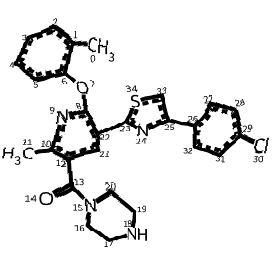 Cc1ccccc1Oc1nc(C)c(C(=O)N2CCNCC2)cc1-c1nc(-c2ccc(Cl)cc2)cs1